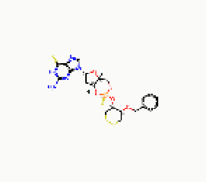 Nc1nc2c(ncn2[C@H]2C[C@@H]3O[P@](=S)(O[C@H]4CSSC[C@@H]4OCc4ccccc4)OC[C@H]3O2)c(=S)[nH]1